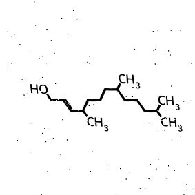 CC(C)CCCC(C)CCCC(C)/C=C/CO